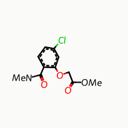 CNC(=O)c1ccc(Cl)cc1OCC(=O)OC